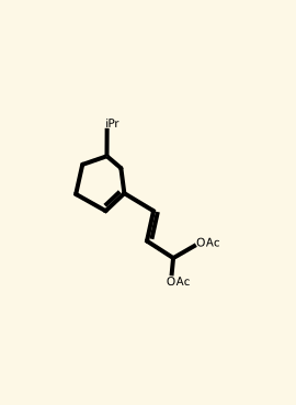 CC(=O)OC(C=CC1=CCCC(C(C)C)C1)OC(C)=O